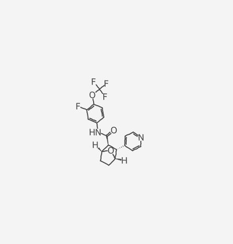 O=C(Nc1ccc(OC(F)(F)F)c(F)c1)[C@H]1[C@H](c2ccncc2)[C@@H]2CC[C@H]1O2